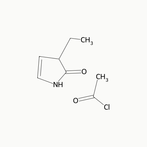 CC(=O)Cl.CCC1C=CNC1=O